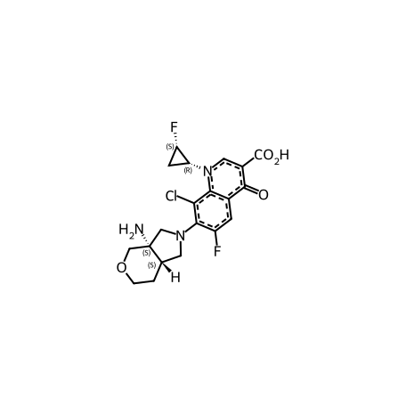 N[C@@]12COCC[C@H]1CN(c1c(F)cc3c(=O)c(C(=O)O)cn([C@@H]4C[C@@H]4F)c3c1Cl)C2